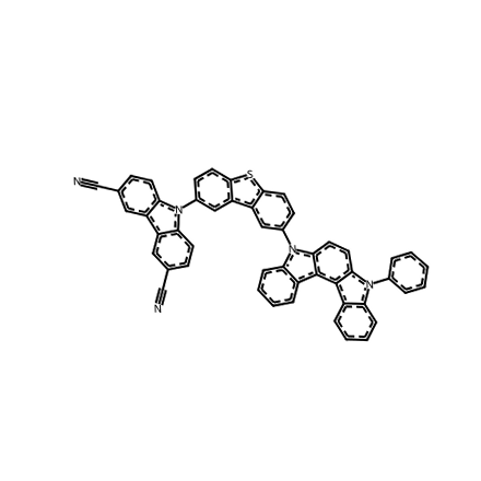 N#Cc1ccc2c(c1)c1cc(C#N)ccc1n2-c1ccc2sc3ccc(-n4c5ccccc5c5c6c7ccccc7n(-c7ccccc7)c6ccc54)cc3c2c1